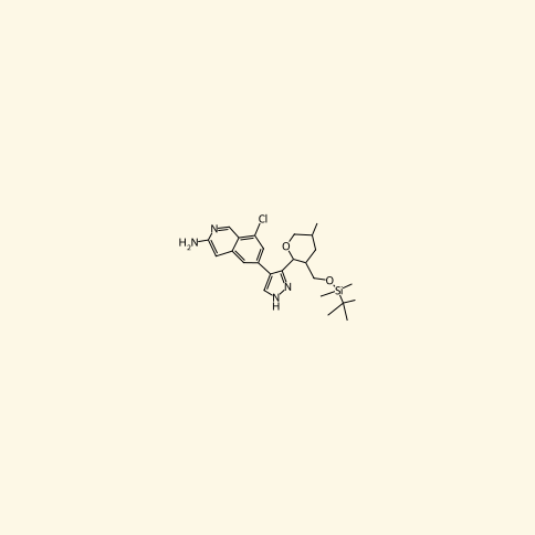 CC1COC(c2n[nH]cc2-c2cc(Cl)c3cnc(N)cc3c2)C(CO[Si](C)(C)C(C)(C)C)C1